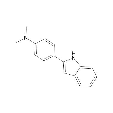 CN(C)c1ccc(-c2cc3ccccc3[nH]2)cc1